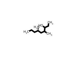 CCC[C@@H](N)CC(C)C(O)CC